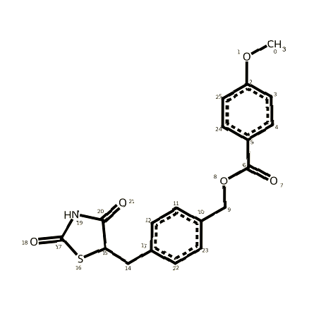 COc1ccc(C(=O)OCc2ccc(CC3SC(=O)NC3=O)cc2)cc1